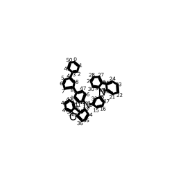 c1ccc(-c2cccc(-c3ccc(N(c4cccc(-n5c6ccccc6c6ccccc65)c4)c4cccc5oc6ccccc6c45)cc3)c2)cc1